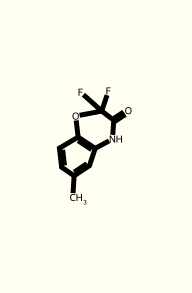 Cc1ccc2c(c1)NC(=O)C(F)(F)O2